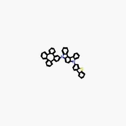 c1ccc2c(c1)-c1ccccc1-c1ccc(-n3c4ccccc4c4c5c6ccccc6n(-c6ccc7c(c6)sc6ccccc67)c5ccc43)cc1-c1ccccc1-2